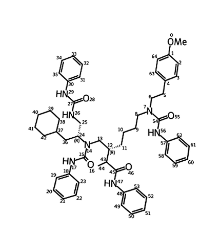 COc1ccc(CCN(CCCC[C@@H](CN(C(=O)Nc2ccccc2)[C@@H](CNC(=O)Nc2ccccc2)CC2CCCCC2)C(C)C(=O)Nc2ccccc2)C(=O)Nc2ccccc2)cc1